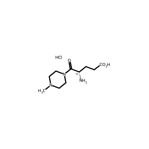 CN1CCN(C(=O)[C@@H](N)CCC(=O)O)CC1.Cl